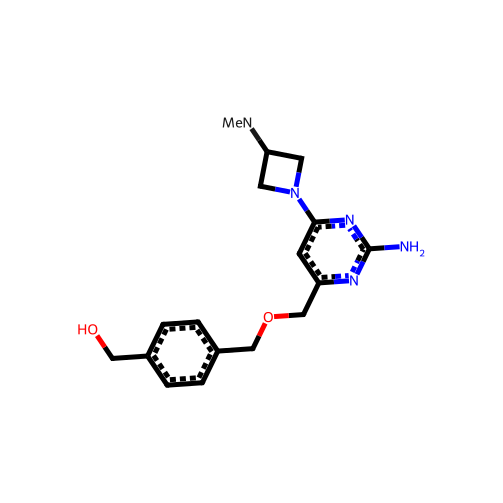 CNC1CN(c2cc(COCc3ccc(CO)cc3)nc(N)n2)C1